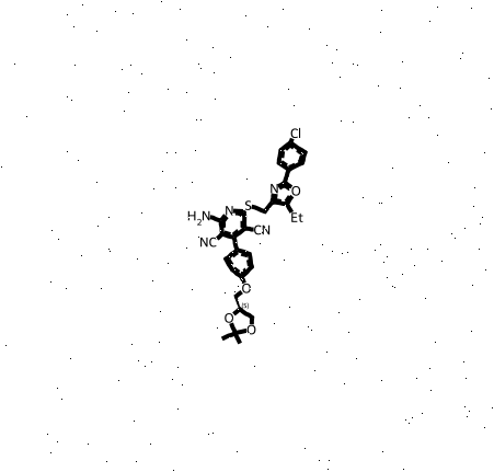 CCc1oc(-c2ccc(Cl)cc2)nc1CSc1nc(N)c(C#N)c(-c2ccc(OC[C@H]3COC(C)(C)O3)cc2)c1C#N